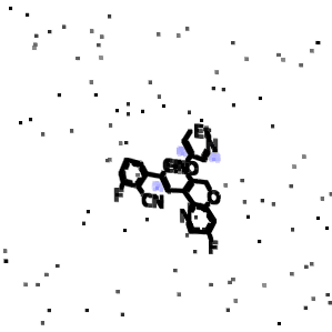 C/C=C(\C=N/CC)NC1=C(/C=C(\C=O)c2cccc(F)c2C#N)c2ncc(F)cc2OC1